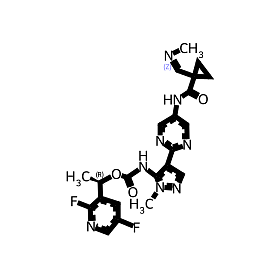 C/N=C\C1(C(=O)Nc2cnc(-c3cnn(C)c3NC(=O)O[C@H](C)c3cc(F)cnc3F)nc2)CC1